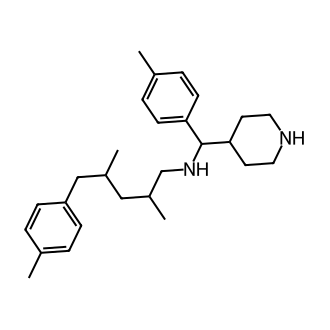 Cc1ccc(CC(C)CC(C)CNC(c2ccc(C)cc2)C2CCNCC2)cc1